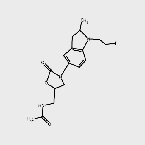 CC(=O)NCC1CN(c2ccc3c(c2)CC(C)N3CCF)C(=O)O1